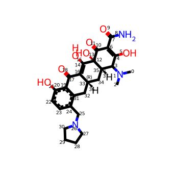 CN(C)C1C(O)=C(C(N)=O)C(=O)[C@@]2(O)C(O)=C3C(=O)c4c(O)ccc(CN5CCCC5)c4C[C@H]3C[C@@H]12